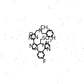 CN(Cc1ccccc1)Cc1nc(-c2ncn3c2C(CS(=O)(=O)O)n2ncnc2-c2cc(F)ccc2-3)no1